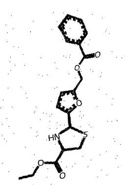 CCOC(=O)C1CSC(c2ccc(COC(=O)c3ccccc3)o2)N1